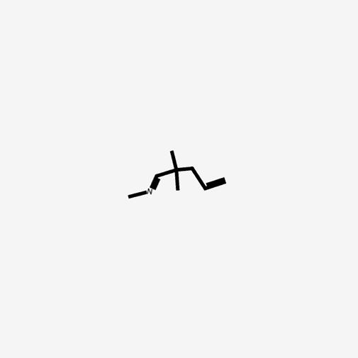 C=CCC(C)(C)C=NC